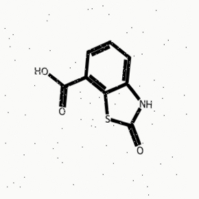 O=C(O)c1cccc2[nH]c(=O)sc12